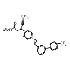 CC#CC(CC(=O)OC)c1ccc(OCc2cccc(-c3ccc(C(F)(F)F)cc3)c2)cc1